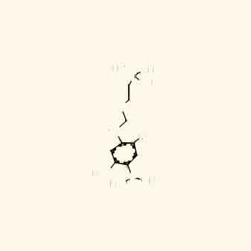 Cc1cc(OCOCC[Si](C)(C)C)c(Cl)cc1B(O)O